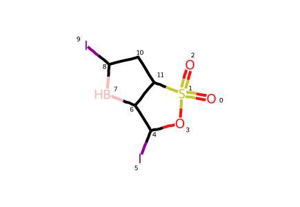 O=S1(=O)OC(I)C2BC(I)CC21